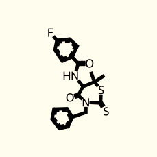 CC1(C)SC(=S)N(Cc2ccccc2)C(=O)C1NC(=O)c1ccc(F)cc1